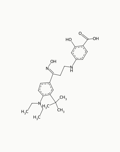 CCN(CC)c1ccc(C(CCNc2ccc(C(=O)O)c(O)c2)=NO)cc1C(C)(C)C